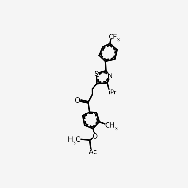 CC(=O)C(C)Oc1ccc(C(=O)CCc2sc(-c3ccc(C(F)(F)F)cc3)nc2C(C)C)cc1C